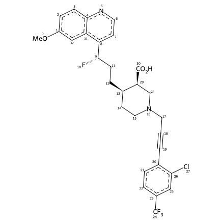 COc1ccc2nccc([C@@H](F)CC[C@@H]3CCN(CC#Cc4ccc(C(F)(F)F)cc4Cl)C[C@@H]3C(=O)O)c2c1